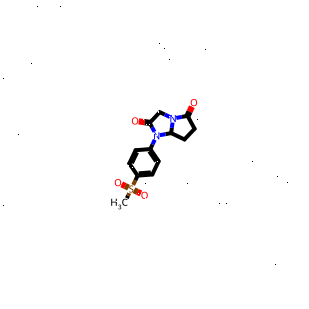 CS(=O)(=O)c1ccc(N2C(=O)CN3C(=O)CCC32)cc1